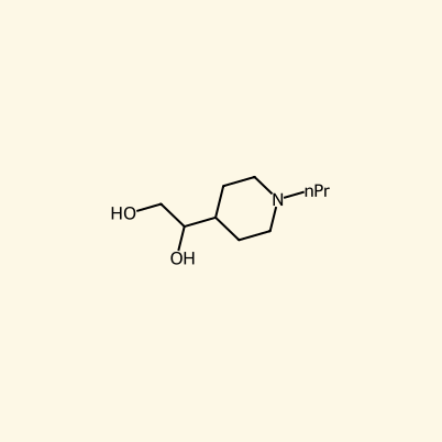 CCCN1CCC(C(O)CO)CC1